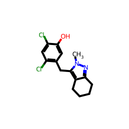 Cn1nc2c(c1Cc1cc(O)c(Cl)cc1Cl)CCCC2